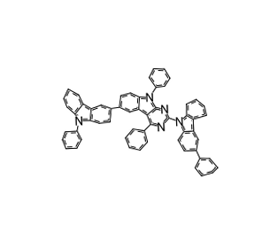 c1ccc(-c2ccc3c(c2)c2ccccc2n3-c2nc(-c3ccccc3)c3c4cc(-c5ccc6c(c5)c5ccccc5n6-c5ccccc5)ccc4n(-c4ccccc4)c3n2)cc1